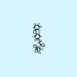 O=C(C=Cc1ccc(Oc2ccccc2)cc1)N1CCOC1=O